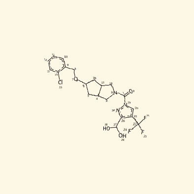 O=C(N1CC2CC(OCc3ccccc3Cl)CC2C1)n1cc(C(F)(F)F)c(C(O)O)n1